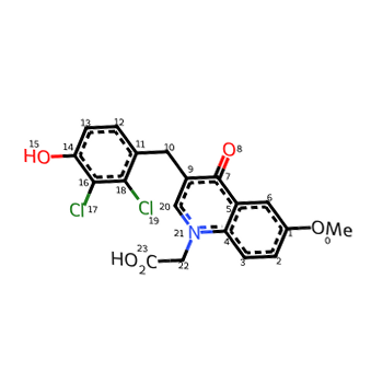 COc1ccc2c(c1)c(=O)c(Cc1ccc(O)c(Cl)c1Cl)cn2CC(=O)O